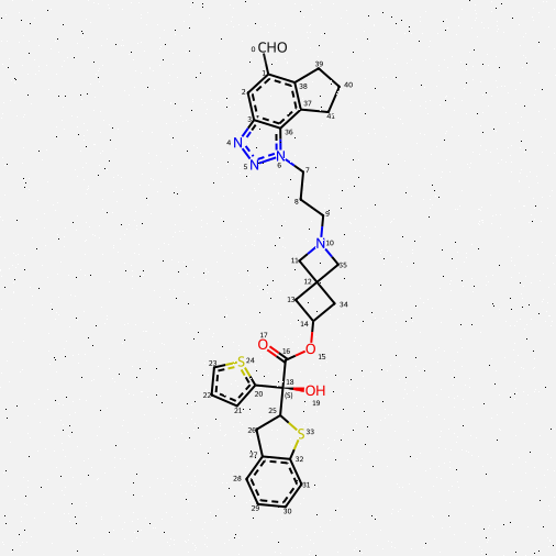 O=Cc1cc2nnn(CCCN3CC4(CC(OC(=O)[C@@](O)(c5cccs5)C5Cc6ccccc6S5)C4)C3)c2c2c1CCC2